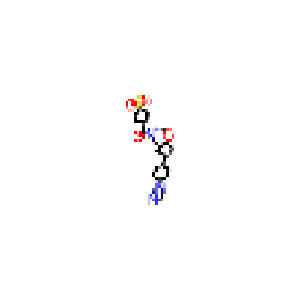 CS(=O)(=O)c1ccc(C(=O)N2CCOc3ccc(-c4ccc(-n5ccnc5)cc4)cc3C2)cc1